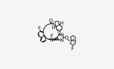 O=C1CCCc2c(F)ccc3cccc(c23)-c2ncc3c(nc(OC[C@@]45CCCN4C[C@H](F)C5)nc3c2F)N2CC[C@H]3CCN1[C@H]3C2